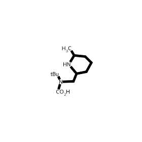 CC1CCCC(CN(C(=O)O)C(C)(C)C)N1